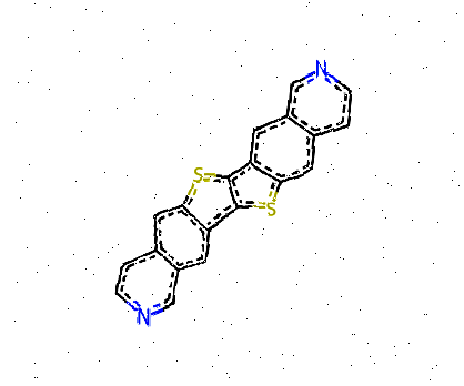 c1cc2cc3sc4c5cc6cnccc6cc5sc4c3cc2cn1